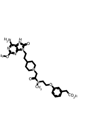 CCCCOc1nc(N)c2[nH]c(=O)n(CCC3CCN(CC(=O)N(C)CCOc4cccc(CC(=O)O)c4)CC3)c2n1